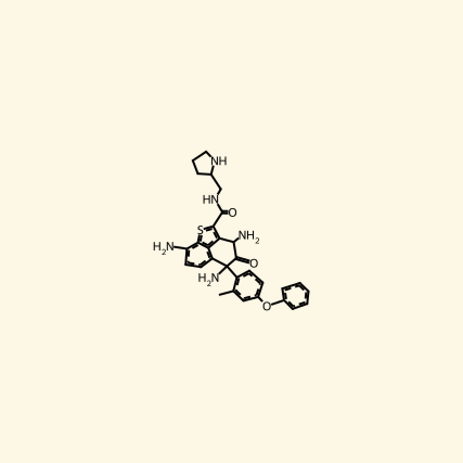 Cc1cc(Oc2ccccc2)ccc1C1(N)C(=O)C(N)c2c(C(=O)NCC3CCCN3)sc3c(N)ccc1c23